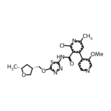 COc1cnccc1-c1cc(C)nc(Cl)c1C(=O)Nc1nnc(OC[C@@H]2CO[C@H](C)C2)s1